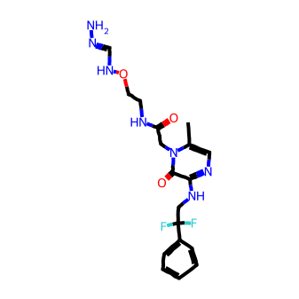 Cc1cnc(NCC(F)(F)c2ccccc2)c(=O)n1CC(=O)NCCONC=NN